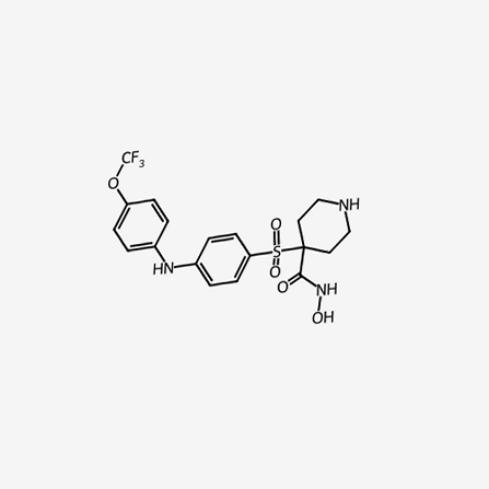 O=C(NO)C1(S(=O)(=O)c2ccc(Nc3ccc(OC(F)(F)F)cc3)cc2)CCNCC1